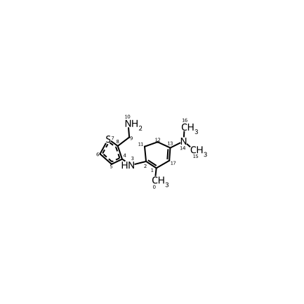 CC1=C(Nc2ccsc2CN)CCC(N(C)C)=C1